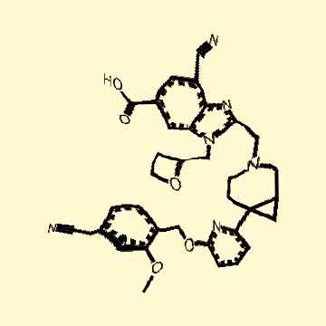 COc1cc(C#N)ccc1COc1cccc(C23CCN(Cc4nc5c(C#N)cc(C(=O)O)cc5n4C[C@@H]4CCO4)CC2C3)n1